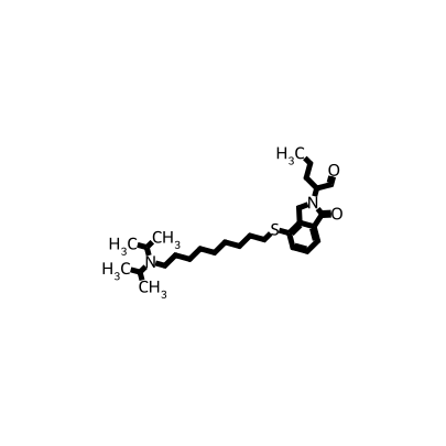 CCCC(C=O)N1Cc2c(SCCCCCCCCCN(C(C)C)C(C)C)cccc2C1=O